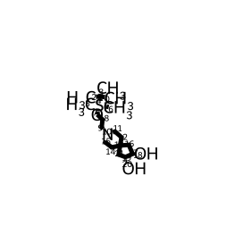 CC(C)(C)[Si](C)(C)OCCN1CCC2(CC1)C[C@@H](O)[C@H](O)C2